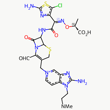 CNCCn1c(N)nc2c[n+](CC3=C(C=O)N4C(=O)C(NC(=O)/C(=N\O[C@@H](C)C(=O)O)c5nc(N)sc5Cl)C4SC3)ccc21